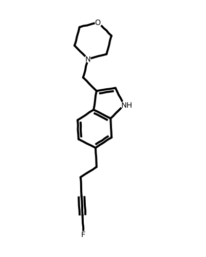 FC#CCCc1ccc2c(CN3CCOCC3)c[nH]c2c1